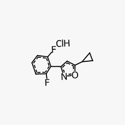 Cl.Fc1cccc(F)c1-c1cc(C2CC2)on1